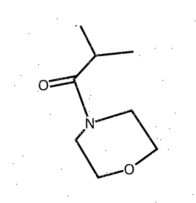 [CH2]C(C)C(=O)N1CCOCC1